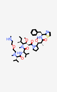 CC[C@H](C)[C@@H]([C@@H](CC(=O)N1CCCC1[C@H](OC)[C@@H](C)C(=O)N[C@@H](Cc1ccccc1)c1nccs1)OC)N(C)C(=O)[C@@H](NC(=O)[C@H](C(C)C)N(C)CCOCCNC)C(C)C